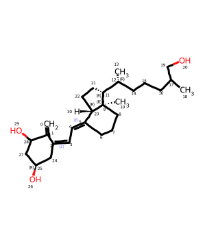 C=C1/C(=C\C=C2/CCC[C@]3(C)[C@@H]([C@H](C)CCCC(C)CO)CC[C@@H]23)C[C@@H](O)CC1O